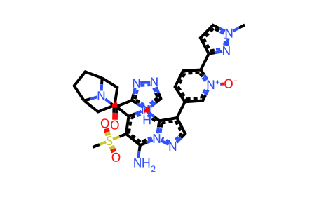 Cn1ccc(-c2ccc(-c3cnn4c(N)c(S(C)(=O)=O)c(C5CC6CCC(C5)N6C(=O)c5nnc[nH]5)nc34)c[n+]2[O-])n1